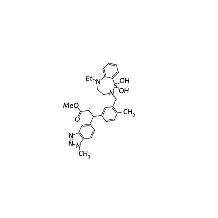 CCN1CCN(Cc2cc(C(CC(=O)OC)c3ccc4c(c3)nnn4C)ccc2C)S(O)(O)c2ccccc21